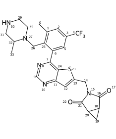 Cc1cc(C(F)(F)F)cc(-c2ncnc3cc(CN4C(=O)C5CC5C4=O)sc23)c1CN1CCNCC1C